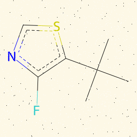 CC(C)(C)c1scnc1F